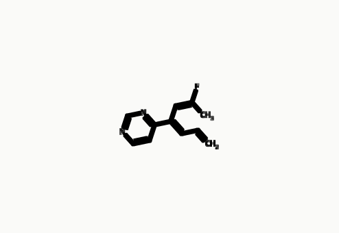 C=C/C=C(\C=C(/C)F)c1ccncn1